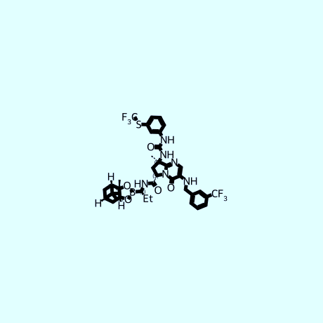 CC[C@H](NC(=O)[C@@H]1C[C@@](C)(NC(=O)Nc2cccc(SC(F)(F)F)c2)c2ncc(NCc3cccc(C(F)(F)F)c3)c(=O)n21)B1O[C@@H]2C[C@@H]3C[C@@H](C3(C)C)[C@]2(C)O1